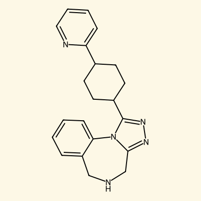 c1ccc(C2CCC(c3nnc4n3-c3ccccc3CNC4)CC2)nc1